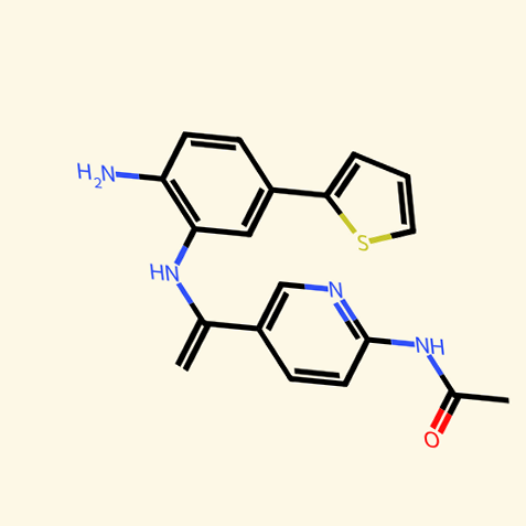 C=C(Nc1cc(-c2cccs2)ccc1N)c1ccc(NC(C)=O)nc1